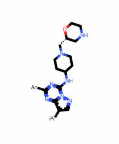 CC(=O)c1nc(NC2CCN(C[C@H]3CNCCO3)CC2)n2ncc(C(C)C)c2n1